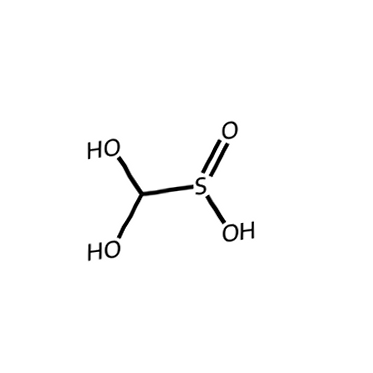 O=S(O)C(O)O